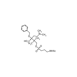 CC(=O)NCCCS(=O)(=O)OCC(C)(C)[C@@](CCN(C)C)(OCc1ccccc1)C(=O)O